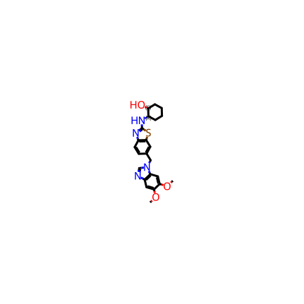 COc1cc2ncn(Cc3ccc4nc(N[C@@H]5CCCC[C@@H]5O)sc4c3)c2cc1OC